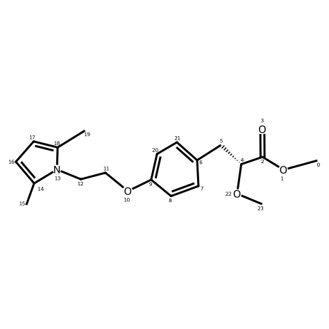 COC(=O)[C@@H](Cc1ccc(OCCn2c(C)ccc2C)cc1)OC